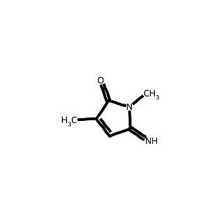 CC1=CC(=N)N(C)C1=O